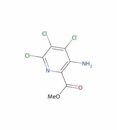 COC(=O)c1nc(Cl)c(Cl)c(Cl)c1N